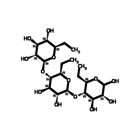 CC[C@H]1O[C@@H](O[C@H]2[C@H](O)[C@@H](O)[C@H](O[C@H]3[C@H](O)[C@@H](O)C(O)O[C@@H]3CC)O[C@@H]2CC)[C@H](O)[C@@H](O)[C@@H]1O